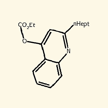 CCCCCCCc1cc(OC(=O)OCC)c2ccccc2n1